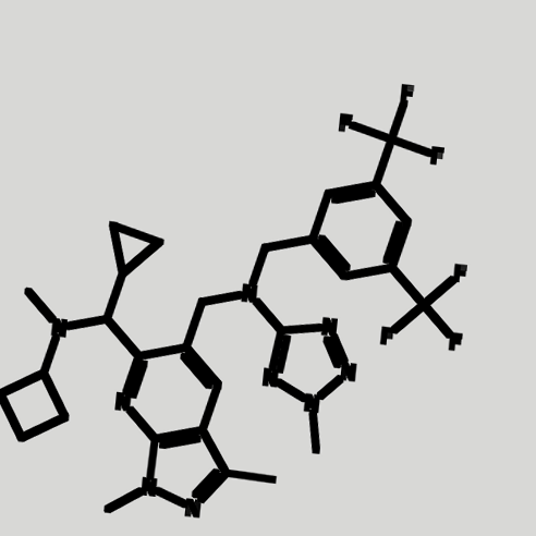 Cc1nn(C)c2nc(C(C3CC3)N(C)C3CCC3)c(CN(Cc3cc(C(F)(F)F)cc(C(F)(F)F)c3)c3nnn(C)n3)cc12